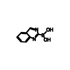 OB(O)c1ncc2ccccc2n1